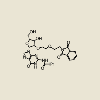 CC(C)C(=O)Nc1nc2c(ncn2[C@@H]2O[C@H](CO)C(O)C2OCCOCCN2C(=O)c3ccccc3C2=O)c(=O)[nH]1